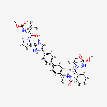 COC(=O)N[C@H](C(=O)N1CCC[C@H]1c1ncc(-c2ccc(-c3ccc([C@H](C)NC(=O)[C@H]4CCCCC4[C@H](C)N(NC(=O)OC)C(C)C)cc3)cc2)[nH]1)C(C)C